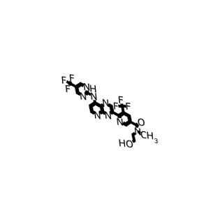 CN(CCO)C(=O)c1cnc(-c2cnc3c(Nc4ncc(C(F)(F)F)cn4)ccnc3n2)c(C(F)(F)F)c1